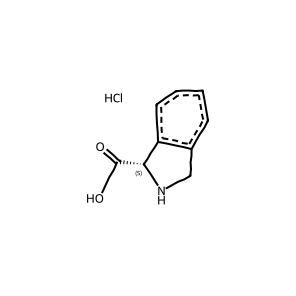 Cl.O=C(O)[C@H]1NCc2ccccc21